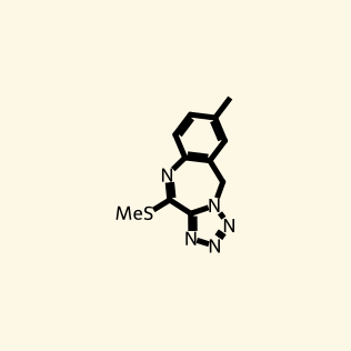 CSC1=Nc2ccc(C)cc2Cn2nnnc21